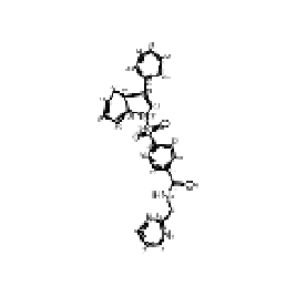 O=C(NCc1ncccn1)c1ccc(S(=O)(=O)N2C=C(c3ccccc3)C3CC=CC=C32)cc1